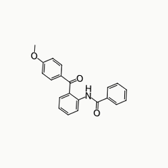 COc1ccc(C(=O)c2ccccc2NC(=O)c2ccccc2)cc1